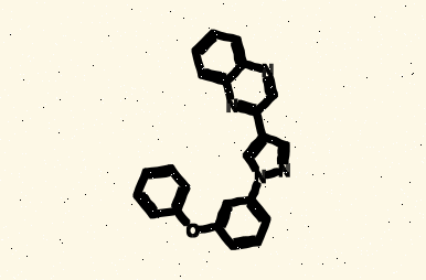 c1ccc(Oc2cccc(-n3cc(-c4cnc5ccccc5n4)cn3)c2)cc1